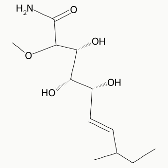 CCC(C)C=C[C@@H](O)[C@H](O)[C@@H](O)C(OC)C(N)=O